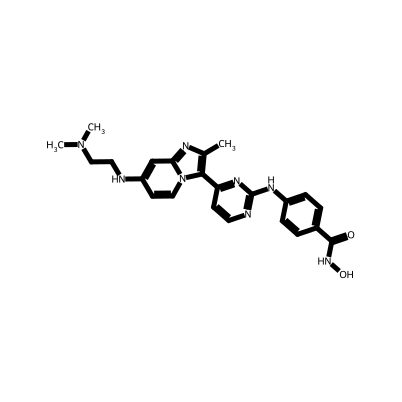 Cc1nc2cc(NCCN(C)C)ccn2c1-c1ccnc(Nc2ccc(C(=O)NO)cc2)n1